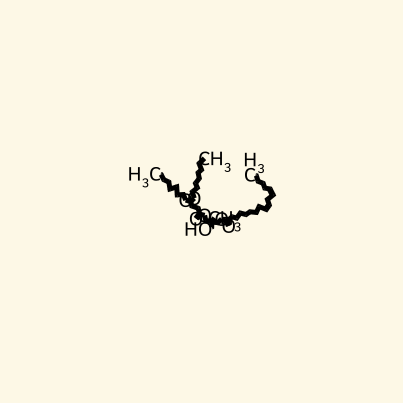 CCCCC/C=C\C/C=C\CCCCCCCC(=O)OCC(C)(CO)COC(=O)CCC(OCCCCCCCC)OCCCCCCCC